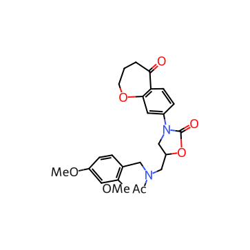 COc1ccc(CN(CC2CN(c3ccc4c(c3)OCCCC4=O)C(=O)O2)C(C)=O)c(OC)c1